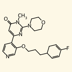 Cn1c(N2CCOCC2)nc(-c2ccncc2OCCCC2C=CC(F)=CC2)cc1=O